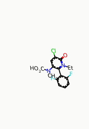 CCn1c(-c2c(F)cccc2F)c(N(C)C(=O)O)cc(Cl)c1=O